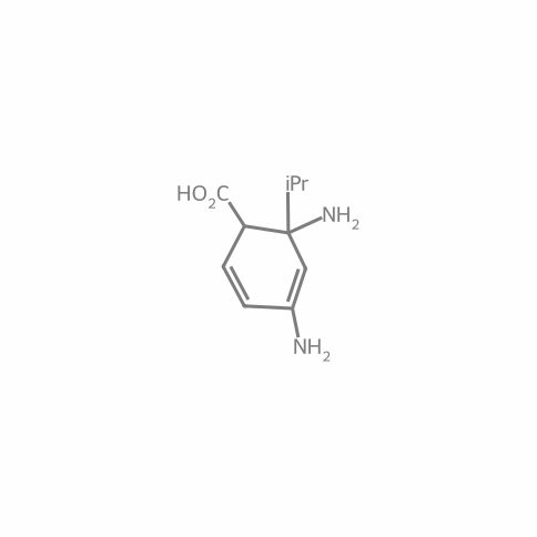 CC(C)C1(N)C=C(N)C=CC1C(=O)O